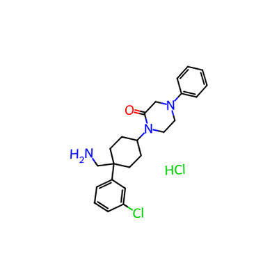 Cl.NCC1(c2cccc(Cl)c2)CCC(N2CCN(c3ccccc3)CC2=O)CC1